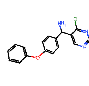 NC(c1ccc(Oc2ccccc2)cc1)c1cncnc1Cl